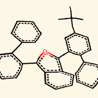 CC(C)(C)c1ccc(-c2ccccc2)c(-c2oc(-c3ccccc3-c3ccccc3)c3ccccc23)c1